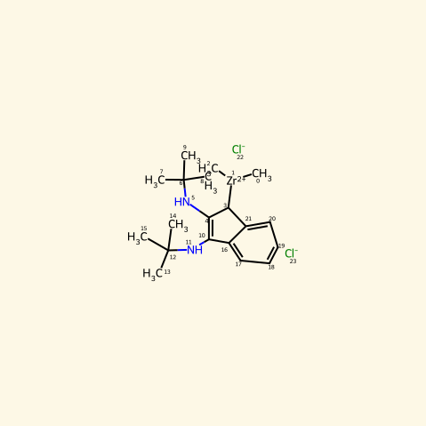 [CH3][Zr+2]([CH3])[CH]1C(NC(C)(C)C)=C(NC(C)(C)C)c2ccccc21.[Cl-].[Cl-]